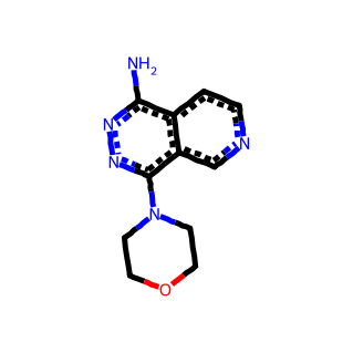 Nc1nnc(N2CCOCC2)c2cnccc12